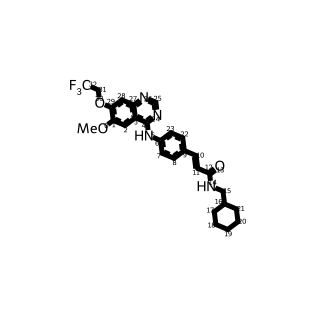 COc1cc2c(Nc3ccc(/C=C/C(=O)NCC4CCCCC4)cc3)ncnc2cc1OCC(F)(F)F